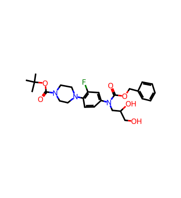 CC(C)(C)OC(=O)N1CCN(c2ccc(N(CC(O)CO)C(=O)OCc3ccccc3)cc2F)CC1